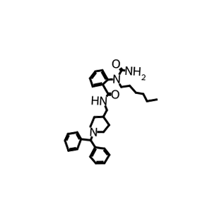 CCCCCCN(C(N)=O)c1ccccc1C(=O)NCC1CCN(C(c2ccccc2)c2ccccc2)CC1